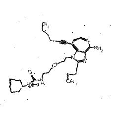 CCCCC#Cc1cnc(N)c2nc(CCC)n(CCOCCNC(=O)NC3CCCCC3)c12